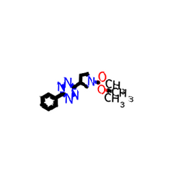 CC(C)(C)OC(=O)N1CCC(c2nnc(-c3ccccc3)nn2)C1